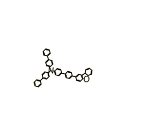 C1=CC2Oc3ccc(-c4ccc(-c5ccc(N(c6ccc(-c7ccccc7)cc6)c6ccc(-c7ccccc7)cc6)cc5)cc4)cc3C2C=C1